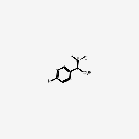 CCOC(=O)C(c1ccc(CC)cc1)[C@H](C)C(F)(F)F